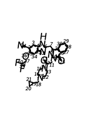 N#Cc1cc2[nH]c(Cc3nn(CC(=O)N4CCN(CC5CC5)CC4)c(=O)c4ccccc34)nc2cc1OCC(F)F